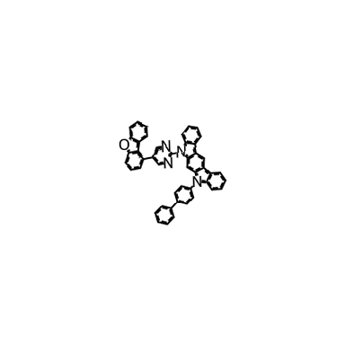 c1ccc(-c2ccc(-n3c4ccccc4c4cc5c6ccccc6n(-c6ncc(-c7cccc8oc9ccccc9c78)cn6)c5cc43)cc2)cc1